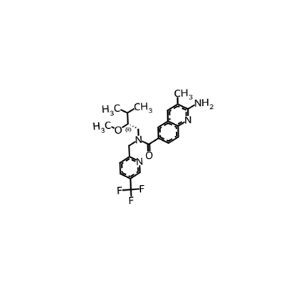 CO[C@@H](CN(Cc1ccc(C(F)(F)F)cn1)C(=O)c1ccc2nc(N)c(C)cc2c1)C(C)C